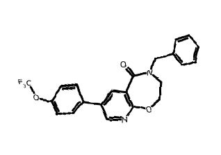 O=C1c2cc(-c3ccc(OC(F)(F)F)cc3)cnc2OCCN1Cc1ccccc1